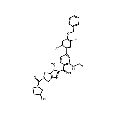 CCc1cc(OCc2ccccc2)c(F)cc1-c1ccc(C(=N)c2nc3c(n2SF)CN(C(=O)N2CCC(C#N)C2)C3)c(NSF)c1